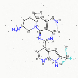 N[C@H]1CCCN(c2nc(-c3ccnc4[nH]c(C(F)(F)F)cc34)nc3cncc(C4CCC4)c23)C1